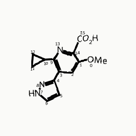 COc1cc(-c2cc[nH]n2)c(C2CC2)nc1C(=O)O